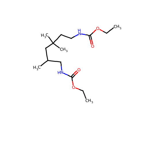 CCOC(=O)NCCC(C)(C)CC(C)CNC(=O)OCC